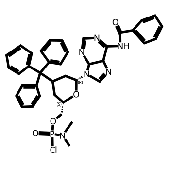 CN(C)P(=O)(Cl)OC[C@@H]1CC(C(c2ccccc2)(c2ccccc2)c2ccccc2)C[C@H](N2C=NC3C(NC(=O)c4ccccc4)=NC=NC32)O1